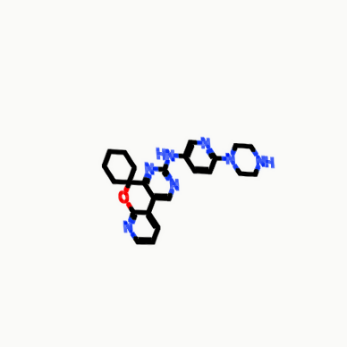 c1cnc2c(c1)-c1cnc(Nc3ccc(N4CCNCC4)nc3)nc1C1(CCCCC1)O2